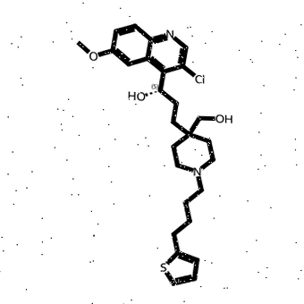 COc1ccc2ncc(Cl)c([C@@H](O)CCC3(CO)CCN(CCCCc4cccs4)CC3)c2c1